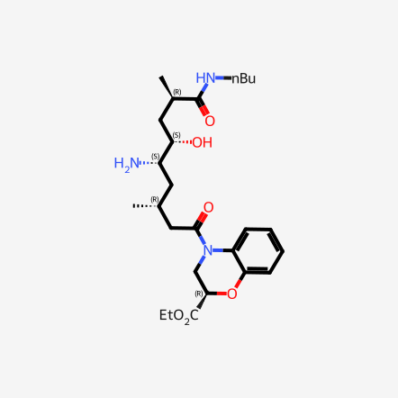 CCCCNC(=O)[C@H](C)C[C@H](O)[C@@H](N)C[C@@H](C)CC(=O)N1C[C@H](C(=O)OCC)Oc2ccccc21